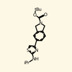 CC(C)Nc1nc(-c2ccc3c(c2)CN(C(=O)OC(C)(C)C)C3)cs1